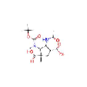 CC(=O)NC1C(N(C)C(=O)OC(C)(C)C)[C@@](C)(C(=O)O)C[C@H]1C(=O)O